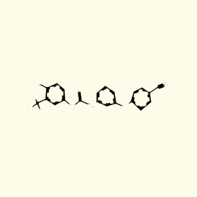 N#Cc1ccc(Oc2cccc(NC(=O)Nc3ccc(Cl)c(C(F)(F)F)c3)c2)cc1